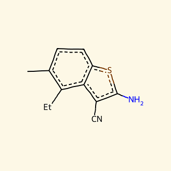 CCc1c(C)ccc2sc(N)c(C#N)c12